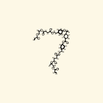 C=CC(=O)OCC(C)OC(=O)CCC(=O)OCCc1ccc(OC(=C)C2CCC(C(=O)Oc3ccc(CCOC(=O)CCC(=O)OC(C)COC(=O)C=C)cc3)CC2)cc1